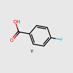 O=C(O)c1ccc(F)cc1.[Y]